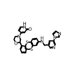 O=c1cc(N2CCOC(c3cccc4c3Sc3ccc(NCc5cncc(-n6ccnc6)c5)cc3S4)C2)cc[nH]1